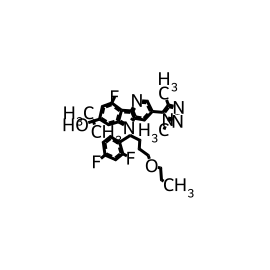 CCCOCCCC(c1ccc(F)cc1F)n1c2cc(-c3c(C)nnn3C)cnc2c2c(F)cc(C(C)(C)O)cc21